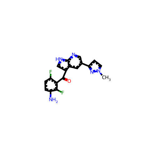 Cn1ccc(-c2cnc3[nH]cc(C(=O)c4c(F)ccc(N)c4F)c3c2)n1